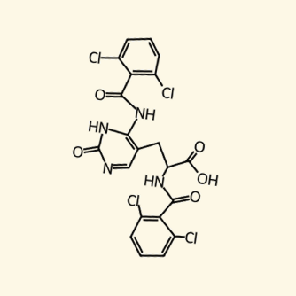 O=C(Nc1[nH]c(=O)ncc1CC(NC(=O)c1c(Cl)cccc1Cl)C(=O)O)c1c(Cl)cccc1Cl